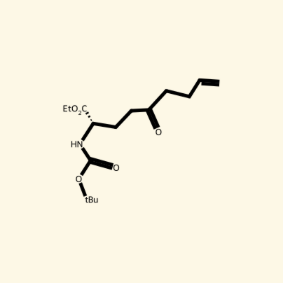 C=CCCC(=O)CC[C@H](NC(=O)OC(C)(C)C)C(=O)OCC